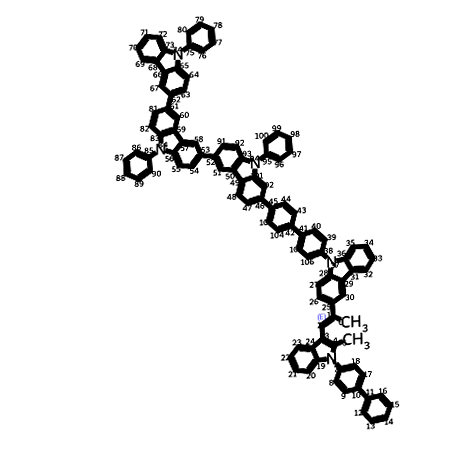 C/C(=C\c1c(C)n(-c2ccc(-c3ccccc3)cc2)c2ccccc12)c1ccc2c(c1)c1ccccc1n2-c1ccc(-c2ccc(-c3ccc4c5cc(-c6ccc7c(c6)c6cc(-c8ccc9c(c8)c8ccccc8n9-c8ccccc8)ccc6n7-c6ccccc6)ccc5n(-c5ccccc5)c4c3)cc2)cc1